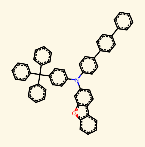 c1ccc(-c2ccc(-c3ccc(N(c4ccc(C(c5ccccc5)(c5ccccc5)c5ccccc5)cc4)c4ccc5c(c4)oc4ccccc45)cc3)cc2)cc1